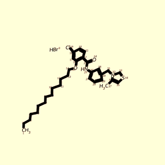 Br.CCCCCCCCCCCCCCOc1cc(Cl)ccc1C(=O)Nc1cccc(CN2CSC=C2C)c1